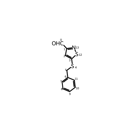 O=Cc1cc(SCc2ccccc2)sn1